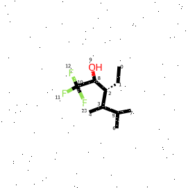 CC[C@H](C(C)C(C)C)C(O)C(F)(F)F